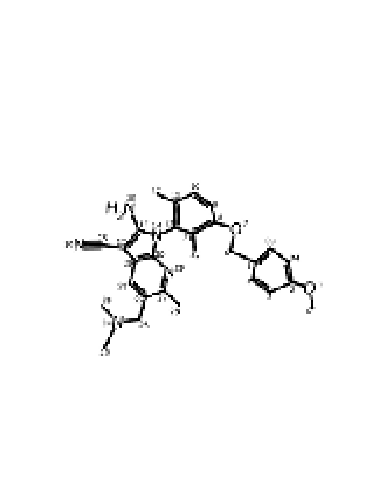 COc1ccc(COc2ccc(C)c(-n3c(N)c(C#N)c4cc(CN(C)C)c(C)nc43)c2C)cc1